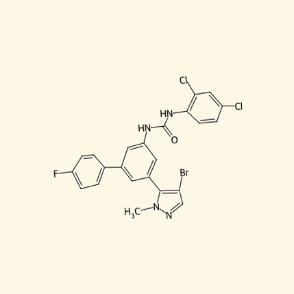 Cn1ncc(Br)c1-c1cc(NC(=O)Nc2ccc(Cl)cc2Cl)cc(-c2ccc(F)cc2)c1